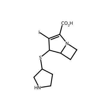 O=C(O)C1=C(I)C(SC2CCNC2)C2CCN12